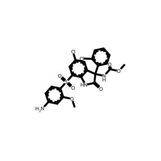 COC(=O)NC1(c2ccccc2Cl)C(=O)Nc2c1cc(Cl)cc2S(=O)(=O)c1ccc(N)cc1OC